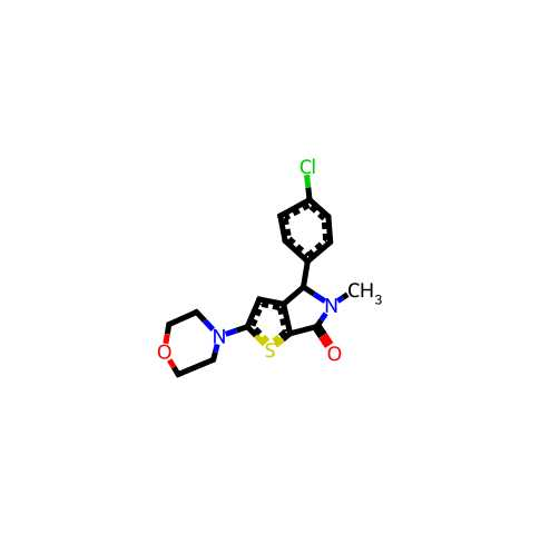 CN1C(=O)c2sc(N3CCOCC3)cc2C1c1ccc(Cl)cc1